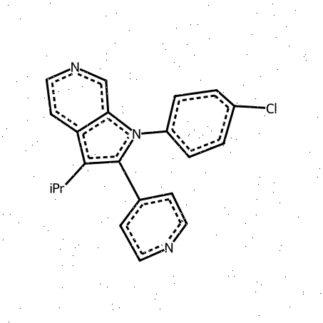 CC(C)c1c(-c2ccncc2)n(-c2ccc(Cl)cc2)c2cnccc12